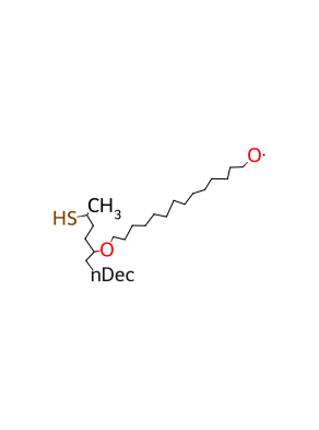 CCCCCCCCCCCC(CCC(C)S)OCCCCCCCCCCCCCC[O]